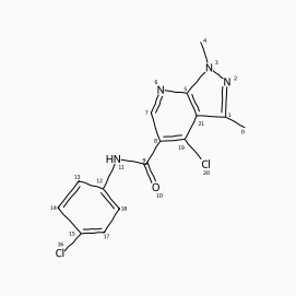 Cc1nn(C)c2ncc(C(=O)Nc3ccc(Cl)cc3)c(Cl)c12